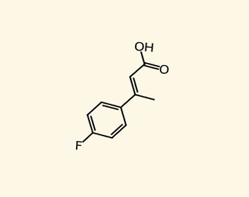 CC(=CC(=O)O)c1ccc(F)cc1